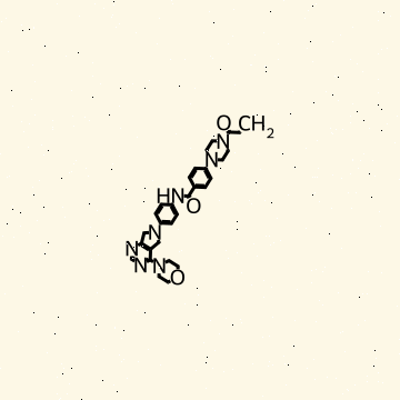 C=CC(=O)N1CCN(c2ccc(C(=O)Nc3ccc(N4Cc5ncnc(N6CCOCC6)c5C4)cc3)cc2)CC1